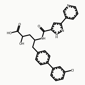 O=C(NC(Cc1ccc(-c2cccc(Cl)c2)cc1)CC(O)C(=O)O)c1cc(-c2cccnc2)n[nH]1